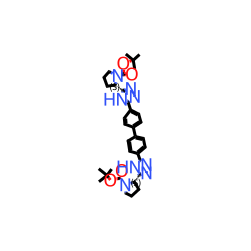 CC(C)(C)OC(=O)N1CCC[C@H]1c1nnc(-c2ccc(-c3ccc(-c4nnc([C@@H]5CCCN5C(=O)OC(C)(C)C)[nH]4)cc3)cc2)[nH]1